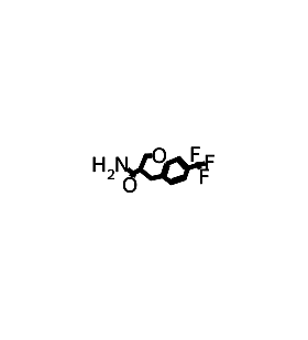 NC(=O)C1COc2cc(C(F)(F)F)ccc2C1